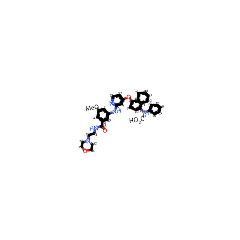 COc1cc(Nc2cc(Oc3ccc(N(C(=O)O)c4ccccc4)c4ccccc34)ccn2)cc(C(=O)NCCN2CCOCC2)c1